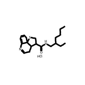 CCCCC(CC)CNC(=O)C1CSC23CC=CC=C2N=CCC13.Cl